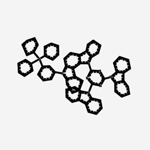 c1ccc([Si](c2ccccc2)(c2ccccc2)c2cccc(-n3c4ccccc4c4c3ccc3c5ccccc5n(-c5nc(-n6c7ccccc7c7ccccc76)nc(-n6c7ccccc7c7ccccc76)n5)c34)c2)cc1